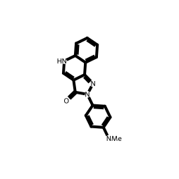 CNc1ccc(-n2nc3c4ccccc4[nH]cc-3c2=O)cc1